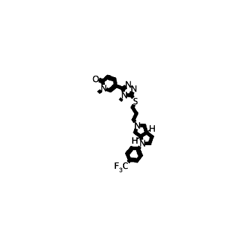 Cn1c(SCCCN2C[C@H]3CCN(c4ccc(C(F)(F)F)cc4)[C@H]3C2)nnc1-c1ccc(=O)n(C)c1